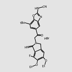 Br.CCOc1cc2c(c(F)c1OCC)C(=N)N(CC(=O)c1cc(C(C)(C)C)c3oc(NC#N)nc3c1)C2